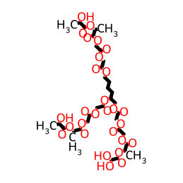 CC(O)C(=O)OC(C)C(=O)OCC(=O)OCC(=O)OCCCCC(COC(=O)COC(=O)COC(=O)C(C)OC(=O)C(O)O)OC(=O)COC(=O)COC(=O)C(C)OC(=O)C(C)O